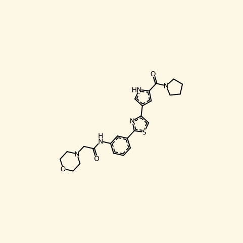 O=C(CN1CCOCC1)Nc1cccc(-c2nc(-c3c[nH]c(C(=O)N4CCCC4)c3)cs2)c1